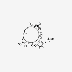 C=C(CCC(C)(C)S)N(C)[C@@H](C)C(=O)O[C@H]1CC(=O)N(C)c2cc(cc(OC)c2Cl)C/C(C)=C/C=C/[C@@H](OC)[C@@]2(O)C[C@H](OC(=O)N2)[C@@H](C)[C@@H]2O[C@@]12C